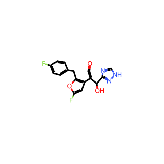 O=C=C(c1cc(F)oc1Cc1ccc(F)cc1)C(O)c1nc[nH]n1